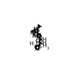 CC(C)(NC(=O)Nc1ccc(-c2cc(C3CC3)nc3c2C(N)=NC3)cc1)c1ccccc1